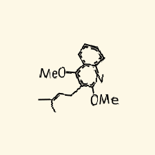 COc1nc2ccccc2c(OC)c1CC=C(C)C